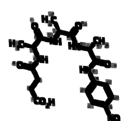 C[C@H](NC(=O)CCC(=O)O)C(=O)N[C@@H](C)C(=O)N[C@@H](C)C(=O)Nc1ccc([N+](=O)[O-])cc1